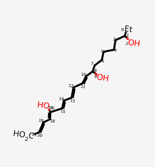 CCC(O)CCCCCC(O)C=CC=CC=CC(O)=CC=CC(=O)O